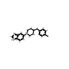 Cc1ccc(CC2CCN(c3ccc4scnc4c3)CC2)cc1